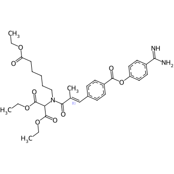 CCOC(=O)CCCCCN(C(=O)/C(C)=C/c1ccc(C(=O)Oc2ccc(C(=N)N)cc2)cc1)C(C(=O)OCC)C(=O)OCC